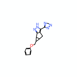 c1ccc(OCC2C3Cc4c(n[nH]c4C4=NCN=N4)C23)cc1